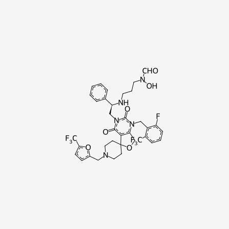 O=CN(O)CCCN[C@@H](Cn1c(=O)c2c(n(Cc3c(F)cccc3C(F)(F)F)c1=O)COC21CCN(Cc2ccc(C(F)(F)F)o2)CC1)c1ccccc1